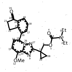 CCN(CC)C(=O)OCC1(c2nc3c(OC)ccc(-c4cccc5c4CCC5=O)n3n2)CC1